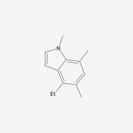 CCc1c(C)cc(C)c2c1ccn2C